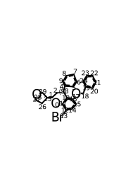 O=C(C[C@@H](c1ccccc1)c1cc(Br)ccc1OCc1ccccc1)C1CCOC1